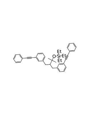 CC[Si](CC)(CC)OC(C)(C)C(Cc1cccc(C#Cc2ccccc2)c1)Cc1cccc(C#Cc2ccccc2)c1